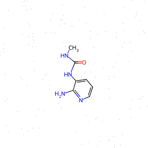 CNC(=O)Nc1cccnc1N